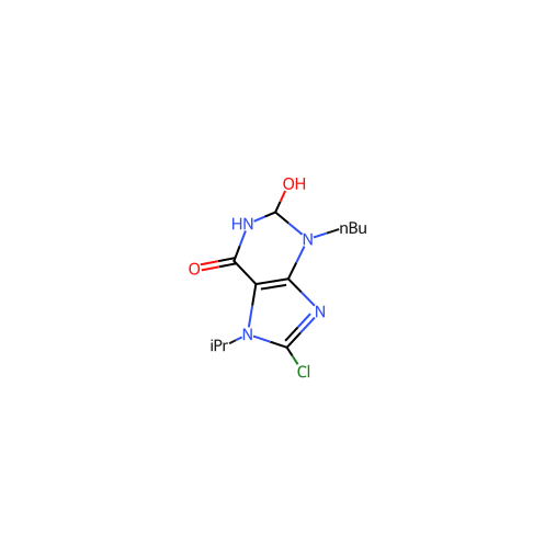 CCCCN1c2nc(Cl)n(C(C)C)c2C(=O)NC1O